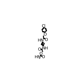 CNC(=O)OCC(=O)NC12CC(NC(=O)COc3ccc(Cl)cc3)(C1)C2